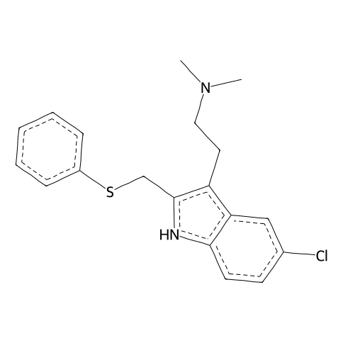 CN(C)CCc1c(CSc2ccccc2)[nH]c2ccc(Cl)cc12